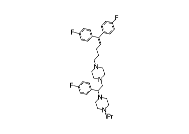 CC(C)N1CCN(C(CN2CCN(CCCC=C(c3ccc(F)cc3)c3ccc(F)cc3)CC2)c2ccc(F)cc2)CC1